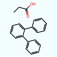 CCC(=O)O.c1ccc(-c2ccccc2-c2ccccc2)cc1